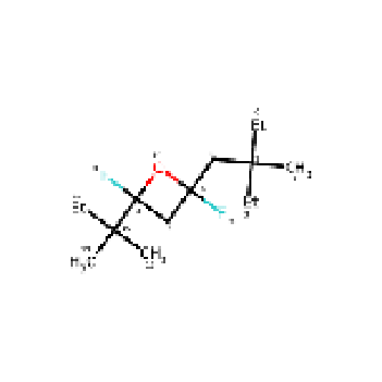 CCC(C)(CC)CC1(F)CC(F)(C(C)(C)CC)O1